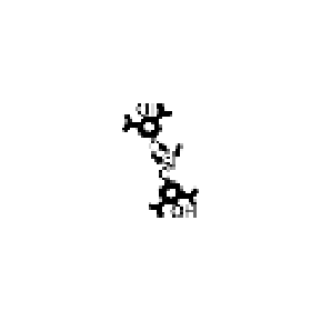 CC[Si](CC)(COc1cc(C(C)C)c(O)c(C(C)C)c1)COc1cc(C(C)C)c(O)c(C(C)C)c1